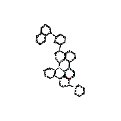 c1ccc(-c2ccc(-c3ccccc3N(c3ccc(-c4cccc(-c5cccc6ccccc56)c4)cc3)c3ccccc3-c3ccccc3)cc2)cc1